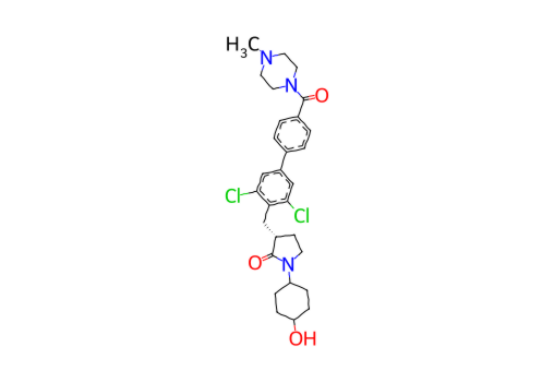 CN1CCN(C(=O)c2ccc(-c3cc(Cl)c(C[C@@H]4CCN(C5CCC(O)CC5)C4=O)c(Cl)c3)cc2)CC1